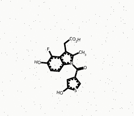 Cc1c(CC(=O)O)c2c(F)c(O)ccc2n1C(=O)c1csc(O)c1